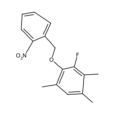 Cc1cc(C)c(OCc2ccccc2[N+](=O)[O-])c(F)c1C